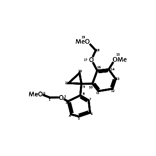 COCOc1ccccc1C1(c2cccc(OC)c2OCOC)CC1